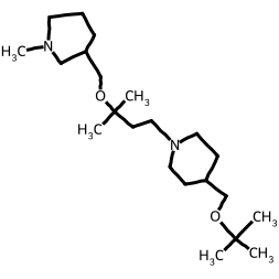 CN1CCCC(COC(C)(C)CCN2CCC(COC(C)(C)C)CC2)C1